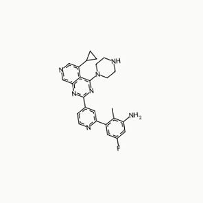 Cc1c(N)cc(F)cc1-c1cc(-c2nc(N3CCNCC3)c3c(C4CC4)cncc3n2)ccn1